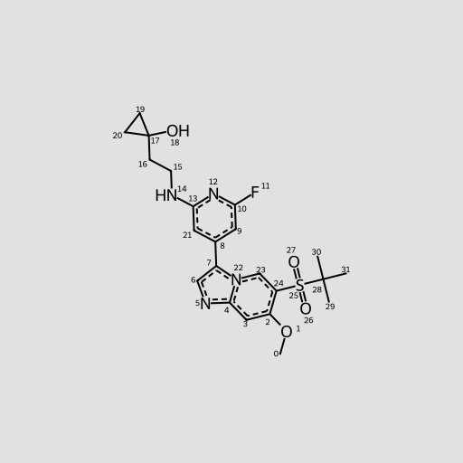 COc1cc2ncc(-c3cc(F)nc(NCCC4(O)CC4)c3)n2cc1S(=O)(=O)C(C)(C)C